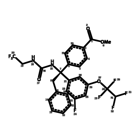 COC(=O)c1ccc([C@@](Cc2ccccc2)(NC(=O)NCC(F)(F)F)c2cc(F)cc(OC(F)(F)C(F)F)c2)cc1